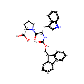 O=C(N[C@@H](Cc1c[nH]c2ccccc12)C(=O)N1CCC[C@H]1C(=O)O)OCC1c2ccccc2-c2ccccc21